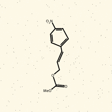 COC(=O)OCC=Cc1ccc([N+](=O)[O-])cc1